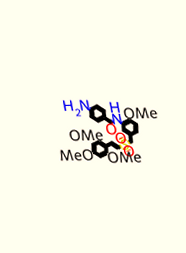 COc1cc(OC)c(/C=C/S(=O)(=O)Cc2ccc(OC)c(NC(=O)c3ccc(N)cc3)c2)c(OC)c1